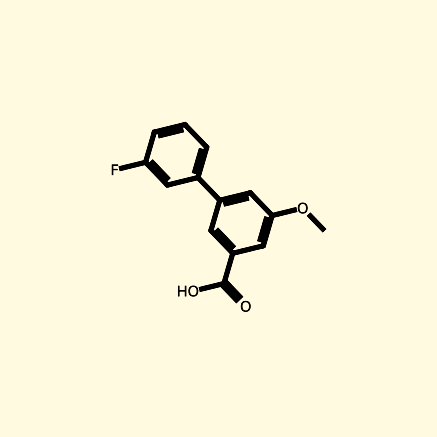 COc1cc(C(=O)O)cc(-c2cccc(F)c2)c1